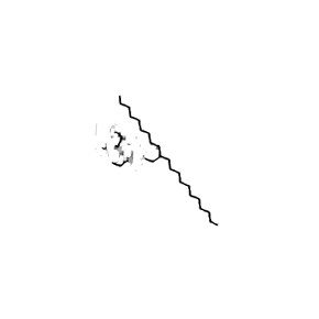 CCCCCCCCCCCC(CCCCCCCCC)CC(S)OC(CC)OC(O)([PH2]=O)C(=O)O